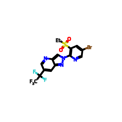 CCS(=O)(=O)c1cc(Br)cnc1-n1cc2ncc(C(F)(F)C(F)(F)F)cc2n1